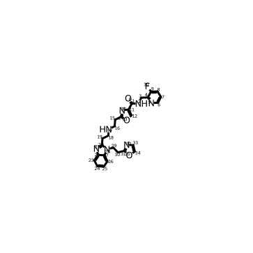 O=C(NCc1ncccc1F)c1coc(CCNCCc2nc3ccccc3n2CCc2ncco2)n1